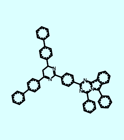 c1ccc(-c2ccc(C3=NC(c4ccc(-c5nc(-c6ccccc6)n6c(-c7ccccc7)c7ccccc7c6n5)cc4)=NC(c4ccc(-c5ccccc5)cc4)C3)cc2)cc1